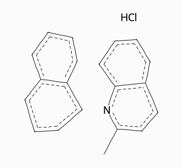 Cc1ccc2ccccc2n1.Cl.c1ccc2ccccc2c1